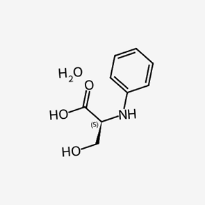 O.O=C(O)[C@H](CO)Nc1ccccc1